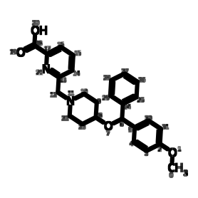 COc1ccc(C(OC2CCN(Cc3cccc(C(=O)O)n3)CC2)c2ccccc2)cc1